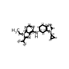 CCn1c(C(F)F)nc2c(N[C@@H]3CCc4ncn(C5CC5)c4C3)ncnc21